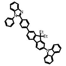 CCC1(CC)c2cc(-c3ccc(-c4nc5ccccc5n4-c4ccccc4)cc3)ccc2-c2ccc(-n3c4ccccc4c4ccccc43)cc21